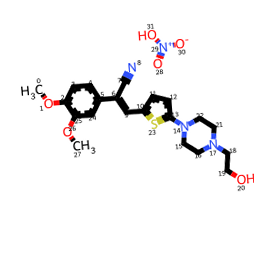 COc1ccc(C(C#N)=Cc2ccc(N3CCN(CCO)CC3)s2)cc1OC.O=[N+]([O-])O